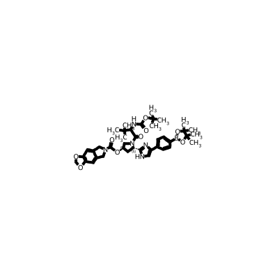 CC(C)(C)OC(=O)NC(C(=O)N1C[C@H](OC(=O)N2Cc3cc4c(cc3C2)OCO4)C[C@H]1c1nc(-c2ccc(B3OC(C)(C)C(C)(C)O3)cc2)c[nH]1)C(C)(C)C